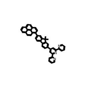 CC1(C)c2cc(-c3cc(-c4ccccn4)nc(-c4ccccn4)c3)ccc2-c2ccc(-c3ccc4ccc5cccc6ccc3c4c56)cc21